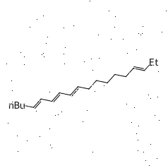 CCC=CCCCCCC=CC=CC=CCCCC